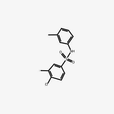 [CH]c1cc(S(=O)(=O)Nc2cccc(C)c2)ccc1Cl